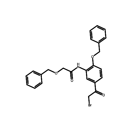 O=C(COCc1ccccc1)Nc1cc(C(=O)CBr)ccc1OCc1ccccc1